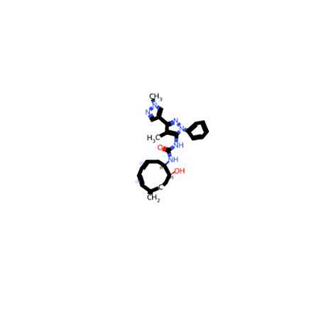 C=C1/C=C\C=C/C[C@@H](NC(=O)Nc2c(C)c(-c3cnn(C)c3)nn2-c2ccccc2)[C@H](O)CC1